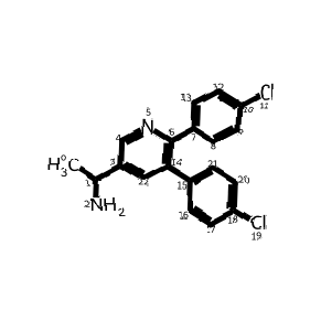 CC(N)c1cnc(-c2ccc(Cl)cc2)c(-c2ccc(Cl)cc2)c1